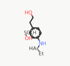 CC[AsH]Nc1ccc(CCO)cc1.O=S(=O)(O)O